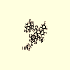 Cc1ccc(-c2ccc(Cl)c3c(N(C(=O)CCN4CCNCC4)S(C)(=O)=O)nn(CC(F)(F)F)c23)c([C@H](Cc2cc(F)cc(F)c2)NC(=O)Cn2nc(C(F)(F)F)c3c2C(F)(F)[C@@H]2C[C@H]32)n1